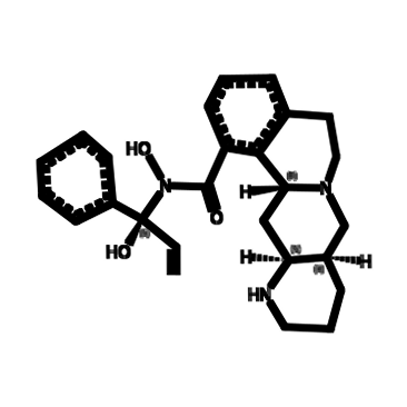 C=C[C@](O)(c1ccccc1)N(O)C(=O)c1cccc2c1[C@H]1C[C@@H]3NCCC[C@@H]3CN1CC2